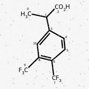 CC(C(=O)O)c1ccc(C(F)(F)F)c(C(F)(F)F)c1